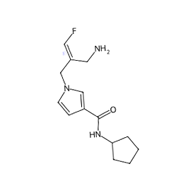 NC/C(=C\F)Cn1ccc(C(=O)NC2CCCC2)c1